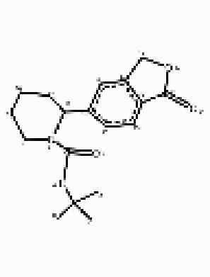 CC(C)(C)OC(=O)N1CCCCC1c1ccc2c(c1)COC2=O